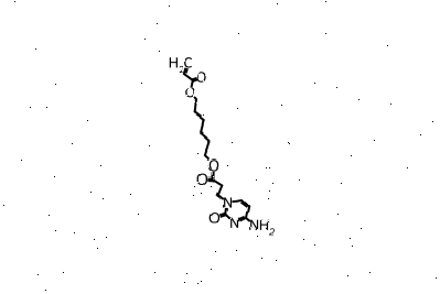 C=CC(=O)OCCCCCCOC(=O)CCn1ccc(N)nc1=O